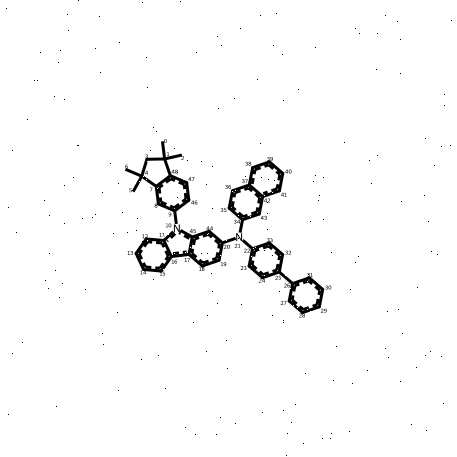 CC1(C)CC(C)(C)c2cc(-n3c4ccccc4c4ccc(N(c5ccc(-c6ccccc6)cc5)c5ccc6ccccc6c5)cc43)ccc21